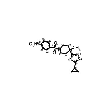 CC1(c2nsc(C3CC3)n2)CCN(S(=O)(=O)c2ccc([N+](=O)[O-])cc2)CC1